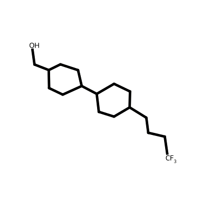 OCC1CCC(C2CCC(CCCC(F)(F)F)CC2)CC1